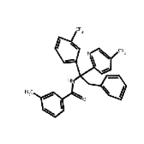 Cc1cccc(C(=O)NC(Cc2ccccc2)(c2cccc(C(F)(F)F)c2)c2ccc(C(F)(F)F)cn2)c1